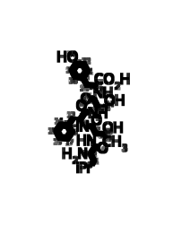 CC(C)C[C@H](N)C(=O)N[C@H](C(=O)N[C@@H](Cc1ccccc1)C(=O)N[C@@H](CO)C(=O)N[C@@H](Cc1ccc(O)cc1)C(=O)O)[C@@H](C)O